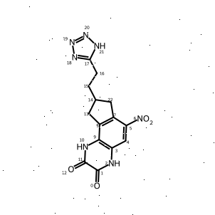 O=c1[nH]c2cc([N+](=O)[O-])c3c(c2[nH]c1=O)CC(CCc1nnn[nH]1)C3